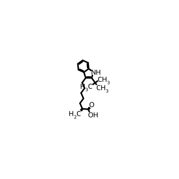 C=C(CCCCCc1c(C(C)(C)C)[nH]c2ccccc12)C(=O)O